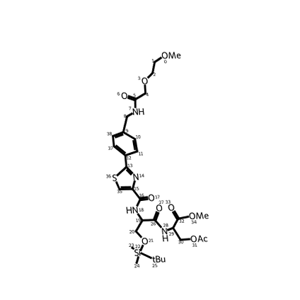 COCCOCC(=O)NCc1ccc(-c2nc(C(=O)NC(CO[Si](C)(C)C(C)(C)C)C(=O)NC(COC(C)=O)C(=O)OC)cs2)cc1